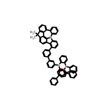 CC1(C)c2cccc3c2-c2c1ccc1c4c(-c5cccc(-c6cccc(N(c7cc(-c8ccccc8)cc(-c8ccccc8)c7)c7ccccc7-n7c8ccccc8c8ccccc87)c6)c5)cccc4n(c21)-c1ccccc1-3